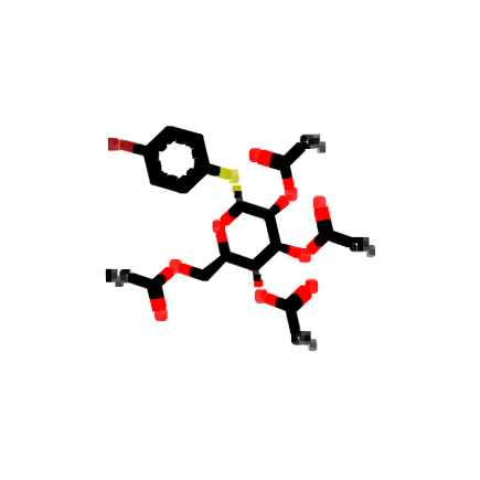 CC(=O)OC[C@H]1O[C@H](Sc2ccc(Br)cc2)[C@@H](OC(C)=O)[C@@H](OC(C)=O)[C@@H]1OC(C)=O